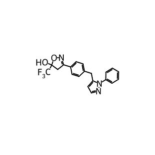 OC1(C(F)(F)F)CC(c2ccc(Cc3ccnn3-c3ccccc3)cc2)=NO1